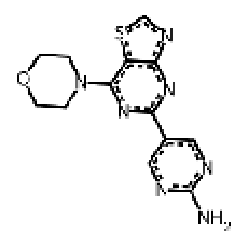 Nc1ncc(-c2nc(N3CCOCC3)c3scnc3n2)cn1